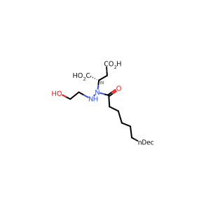 CCCCCCCCCCCCCCCC(=O)N(NCCO)[C@@H](CC(=O)O)C(=O)O